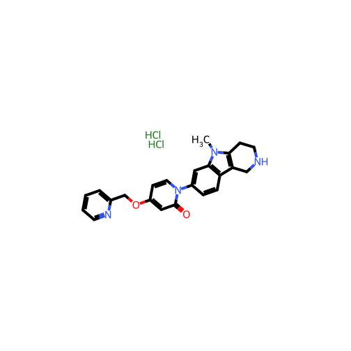 Cl.Cl.Cn1c2c(c3ccc(-n4ccc(OCc5ccccn5)cc4=O)cc31)CNCC2